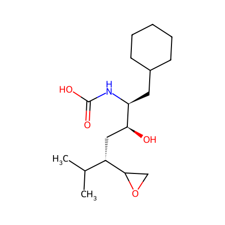 CC(C)[C@H](C[C@H](O)[C@H](CC1CCCCC1)NC(=O)O)C1CO1